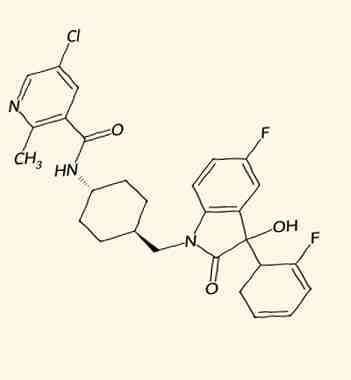 Cc1ncc(Cl)cc1C(=O)N[C@H]1CC[C@H](CN2C(=O)C(O)(C3CC=CC=C3F)c3cc(F)ccc32)CC1